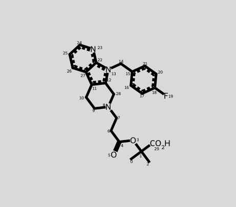 CC(C)(OC(=O)CCN1CCc2c(n(Cc3ccc(F)cc3)c3ncccc23)C1)C(=O)O